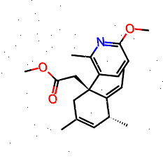 C/C=C1/[C@H](C)C=C(C)C[C@]1(CC(=O)OC)c1ccc(OC)nc1C